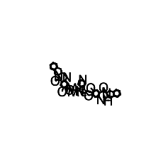 COc1cc2c(cc1OCCN(CCOc1cc3c(cc1OC)C(=O)N1Cc4ccccc4C[C@H]1C=N3)c1ccncc1)N=CC1Cc3ccccc3CN1C2=O